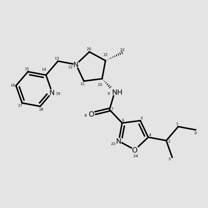 CCC(C)c1cc(C(=O)N[C@@H]2CN(Cc3ccccn3)C[C@@H]2C)no1